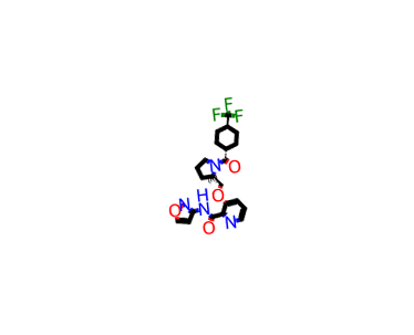 O=C(Nc1ccon1)c1ncccc1OC[C@H]1CCCN1C(=O)[C@H]1CC[C@H](C(F)(F)F)CC1